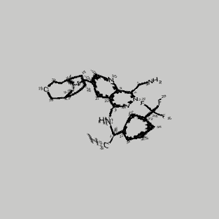 C[C@@H](Nc1nnc(CN)c2ncc(N3C4CCC3COC4)cc12)c1cccc(C(F)(F)F)c1